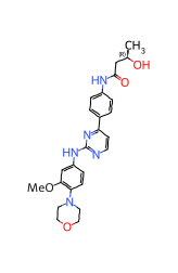 COc1cc(Nc2nccc(-c3ccc(NC(=O)C[C@@H](C)O)cc3)n2)ccc1N1CCOCC1